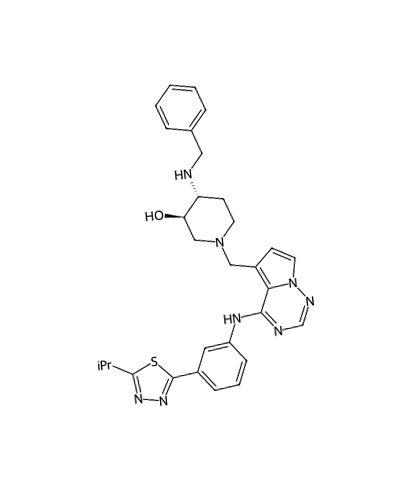 CC(C)c1nnc(-c2cccc(Nc3ncnn4ccc(CN5CC[C@@H](NCc6ccccc6)[C@H](O)C5)c34)c2)s1